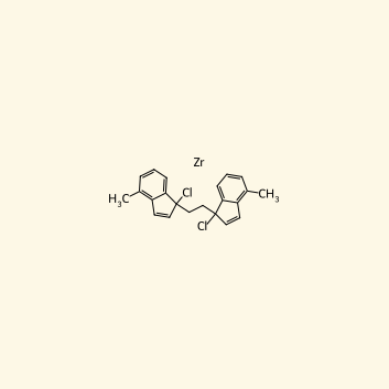 Cc1cccc2c1C=CC2(Cl)CCC1(Cl)C=Cc2c(C)cccc21.[Zr]